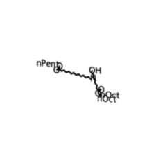 CCCCCCCCC(CCCCCCCC)OC(=O)CCCCN(CCO)CCCCCCCCCCCCCC(=O)OCCCCC